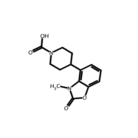 Cn1c(=O)oc2cccc(C3CCN(C(=O)O)CC3)c21